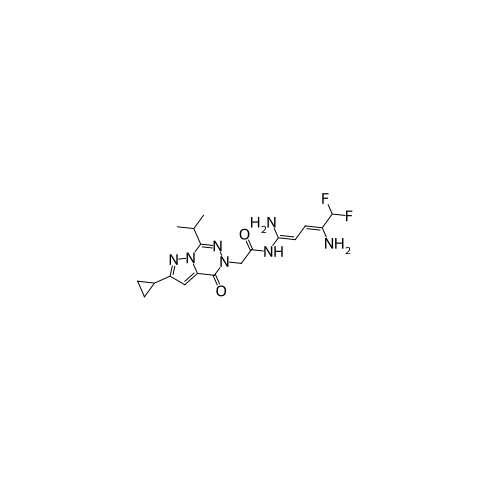 CC(C)c1nn(CC(=O)N/C(N)=C/C=C(\N)C(F)F)c(=O)c2cc(C3CC3)nn12